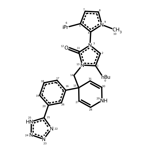 CCCCc1cn(-c2c(C(C)C)ccn2C)c(=O)n1CC1(c2cccc(-c3nnn[nH]3)c2)C=CNC=C1